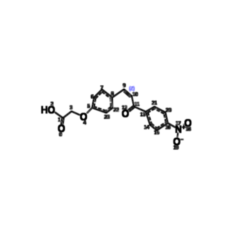 O=C(O)COc1ccc(/C=C\C(=O)c2ccc([N+](=O)[O-])cc2)cc1